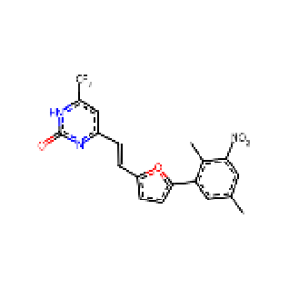 Cc1cc(-c2ccc(C=Cc3cc(C(F)(F)F)[nH]c(=O)n3)o2)c(C)c([N+](=O)[O-])c1